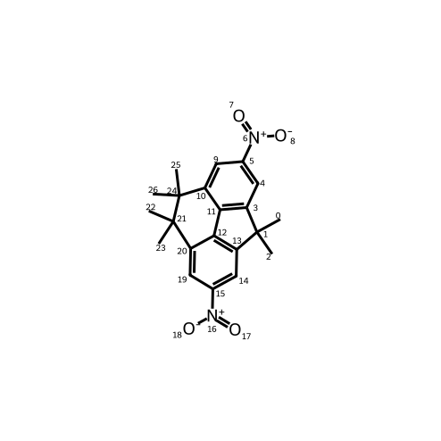 CC1(C)c2cc([N+](=O)[O-])cc3c2-c2c1cc([N+](=O)[O-])cc2C(C)(C)C3(C)C